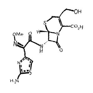 CO/N=C(\C(=O)N[C@H]1C(=O)N2C(C(=O)O)=C(CO)CS[C@@H]12)c1csc(N)n1